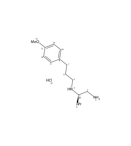 CCC[C@H](CN)NCCCc1ccc(OC)cc1.Cl